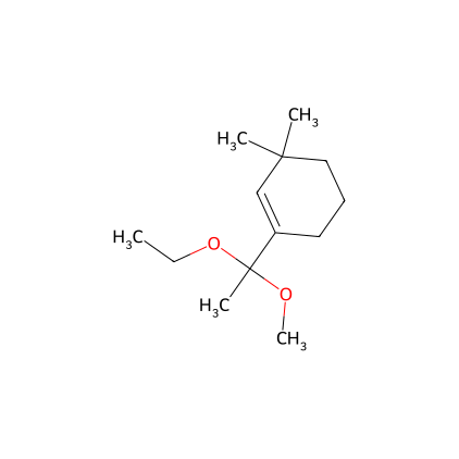 CCOC(C)(OC)C1=CC(C)(C)CCC1